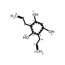 C=CCc1c(O)cc(O)c(CC=C)c1O